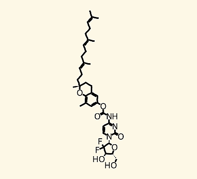 CC(C)=CCC/C(C)=C/CC/C(C)=C/CC[C@]1(C)CCc2cc(OC(=O)Nc3ccn([C@@H]4O[C@H](CO)[C@@H](O)C4(F)F)c(=O)n3)cc(C)c2O1